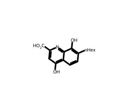 CCCCCCc1ccc2c(O)cc(C(=O)O)nc2c1O